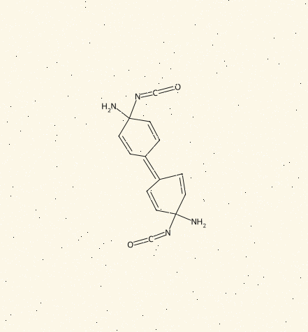 NC1(N=C=O)C=CC(=C2C=CC(N)(N=C=O)C=C2)C=C1